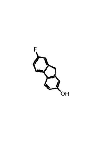 Oc1ccc2c(c1)Cc1cc(F)ccc1-2